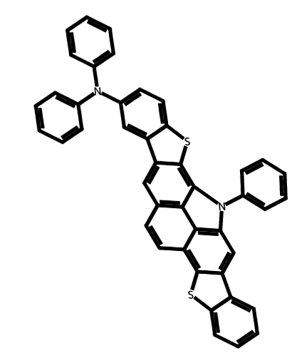 c1ccc(N(c2ccccc2)c2ccc3sc4c(cc5ccc6c7sc8ccccc8c7cc7c6c5c4n7-c4ccccc4)c3c2)cc1